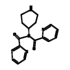 O=C(c1ccccn1)N(C(=O)c1ccccn1)C1CCNCC1